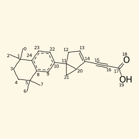 CC1(C)CCC(C)(C)c2cc(C34CC=C(C#CC(=O)O)C3C4)ccc21